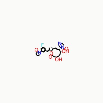 C/C(=C\c1cc(F)cc(N2CCCC2=O)c1)[C@H]1OC(=O)C[C@H](O)CC[C@H](C)[C@@H](C2CN(C)CCN2C(=O)O)/C=C/[C@@H]1C